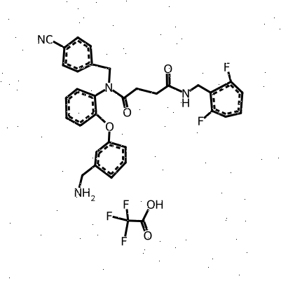 N#Cc1ccc(CN(C(=O)CCC(=O)NCc2c(F)cccc2F)c2ccccc2Oc2cccc(CN)c2)cc1.O=C(O)C(F)(F)F